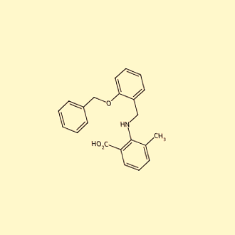 Cc1cccc(C(=O)O)c1NCc1ccccc1OCc1ccccc1